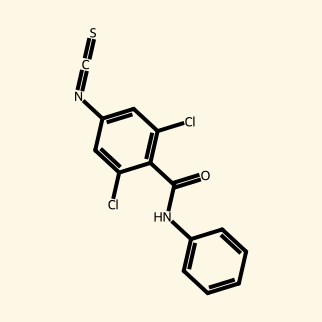 O=C(Nc1ccccc1)c1c(Cl)cc(N=C=S)cc1Cl